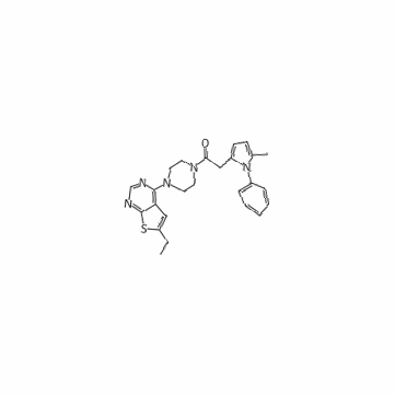 CCc1cc2c(N3CCN(C(=O)Cc4ccc(C)n4-c4ccccc4)CC3)ncnc2s1